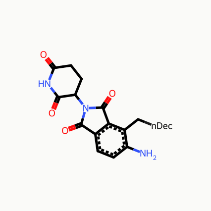 CCCCCCCCCCCc1c(N)ccc2c1C(=O)N(C1CCC(=O)NC1=O)C2=O